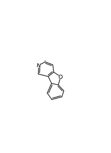 [c]1cc2oc3ccccc3c2cn1